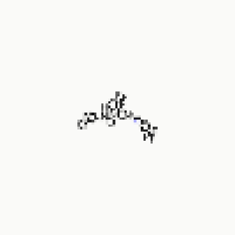 O=C(NCc1ccnc(Cl)c1)n1c2c(c3c(C(F)(F)F)cccc31)CN(C/C=C/c1ccc(C(F)(F)F)cc1)CC2